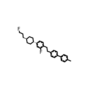 Cc1ccc(-c2ccc(CCc3ccc([C@H]4CC[C@H](CCCF)CC4)cc3F)cc2)cc1